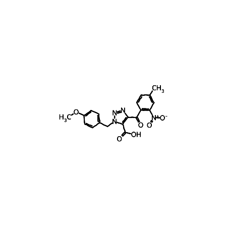 COc1ccc(Cn2nnc(C(=O)c3ccc(C)cc3[N+](=O)[O-])c2C(=O)O)cc1